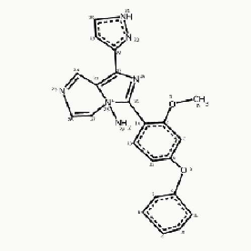 COc1cc(Oc2ccccc2)ccc1C1=NC(c2cc[nH]n2)=C2C=NC=C[N+]12N